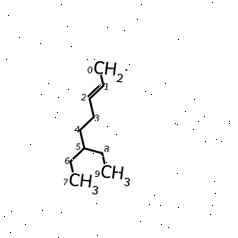 [CH2]/C=C/CCC(CC)CC